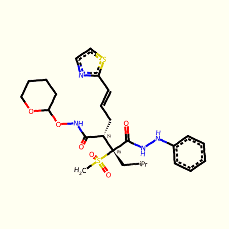 CC(C)C[C@](C(=O)NNc1ccccc1)([C@@H](CC=Cc1nccs1)C(=O)NOC1CCCCO1)S(C)(=O)=O